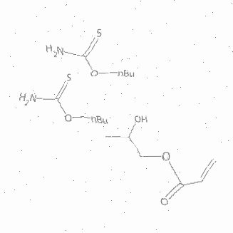 C=CC(=O)OCC(C)O.CCCCOC(N)=S.CCCCOC(N)=S